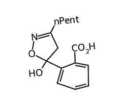 CCCCCC1=NOC(O)(c2ccccc2C(=O)O)C1